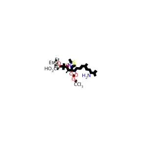 C=C(C)[C@@H](N)CC=C(C)C=CC[C@H](C)[C@@](OC(=O)OCC(Cl)(Cl)Cl)(c1csc(C)n1)[C@@H](C)C(=O)C(C)(C)[C@H](CC(=O)O)O[Si](CC)(CC)CC